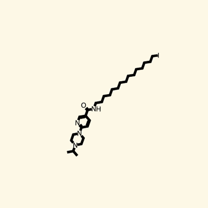 CC(C)N1CCN(c2ccc(C(=O)NCCCCCCCCCCCCCCCI)cn2)CC1